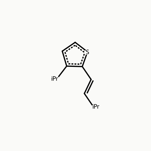 CC(C)/C=C/c1sccc1C(C)C